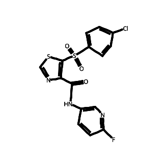 O=C(Nc1ccc(F)nc1)c1ncsc1S(=O)(=O)c1ccc(Cl)cc1